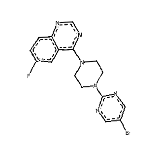 Fc1ccc2ncnc(N3CCN(c4ncc(Br)cn4)CC3)c2c1